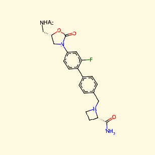 CC(=O)NC[C@H]1CN(c2ccc(-c3ccc(CN4CC[C@H]4C(N)=O)cc3)c(F)c2)C(=O)O1